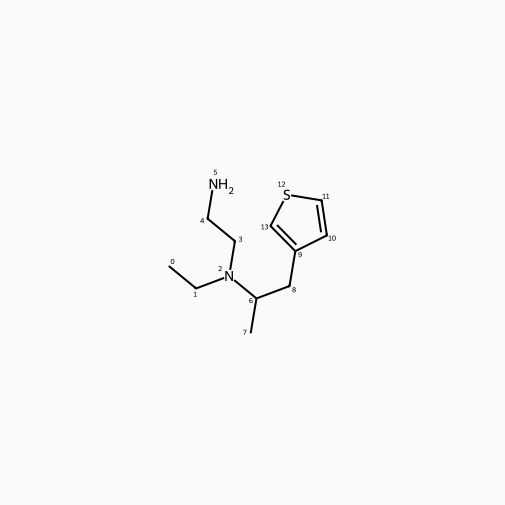 CCN(CCN)C(C)Cc1ccsc1